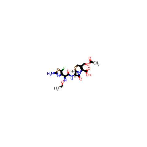 CCON=C(C(=O)N[C@@H]1C(=O)N2C(C(=O)O)=C(COC(C)=O)CS[C@H]12)c1nc(N)sc1F